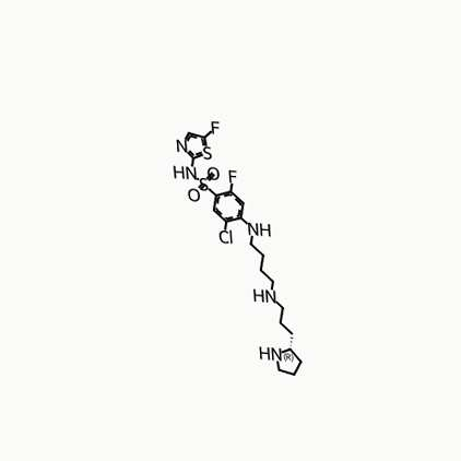 O=S(=O)(Nc1ncc(F)s1)c1cc(Cl)c(NCCCCNCCC[C@@H]2CCCN2)cc1F